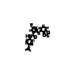 O=C(Nc1cnc(C2CC2)nc1)c1cc(F)nn1Cc1cccc2c1OCO2